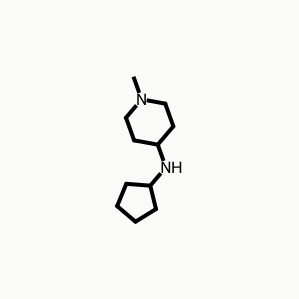 CN1CCC(NC2CCCC2)CC1